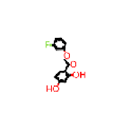 O=C(COc1cccc(F)c1)c1ccc(O)cc1O